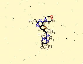 CCOC(=O)c1cnc(N(C)C(C)(C)c2cc3nc(C)nc(N4CCOCC4)c3s2)nc1